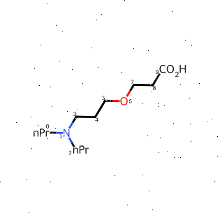 CCCN(CCC)CCCOCCC(=O)O